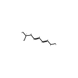 CCC=CC=CCC(C)C